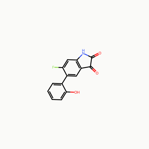 O=C1Nc2cc(F)c(-c3ccccc3O)cc2C1=O